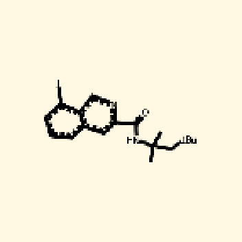 CC(C)(C)CC(C)(C)NC(=O)c1cc2cccc(I)c2cn1